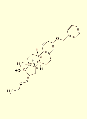 CCOC=C1C[C@H]2[C@@H]3CCc4cc(OCc5ccccc5)ccc4[C@H]3CC[C@]2(C)[C@H]1O